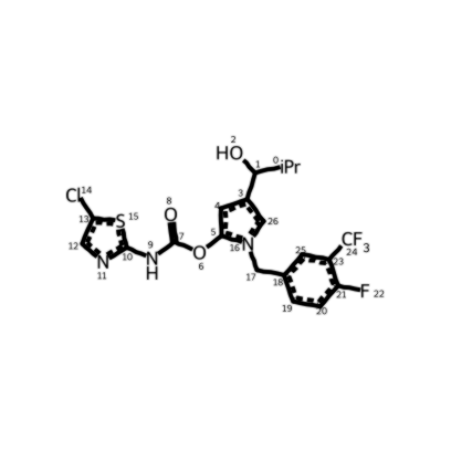 CC(C)C(O)c1cc(OC(=O)Nc2ncc(Cl)s2)n(Cc2ccc(F)c(C(F)(F)F)c2)c1